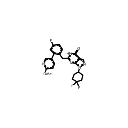 COc1ccc(-c2cc(F)ccc2Cc2nc3c(cnn3C3CCC(F)(F)CC3)c(=O)[nH]2)cn1